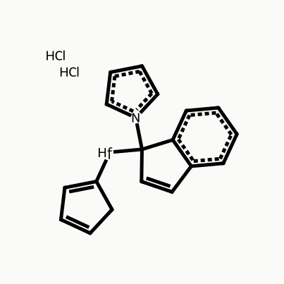 C1=CC[C]([Hf][C]2(n3cccc3)C=Cc3ccccc32)=C1.Cl.Cl